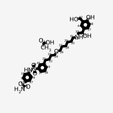 CC(=O)O.NS(=O)(=O)c1ccc(NS(=O)(=O)c2cccc(CCCCOCCCCCCNC[C@H](O)c3ccc(O)c(CO)c3)c2)cc1